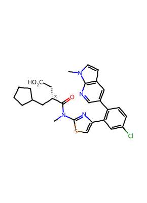 CN(C(=O)[C@@H](CC(=O)O)CC1CCCC1)c1nc(-c2cc(Cl)ccc2-c2cnc3c(ccn3C)c2)cs1